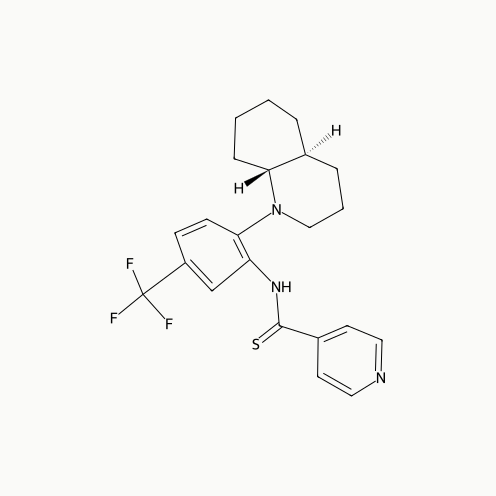 FC(F)(F)c1ccc(N2CCC[C@@H]3CCCC[C@H]32)c(NC(=S)c2ccncc2)c1